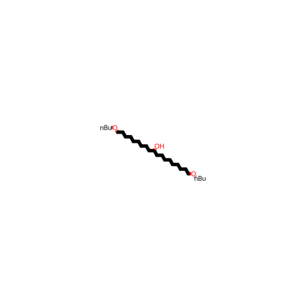 CCCCOCCCCCCCCCC(O)CCCCCCCCCOCCCC